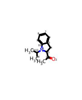 CC(=O)C1Cc2ccccc2N1C(C)C